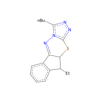 CCCCc1nnc2n1N=C1c3ccccc3C(CC)C1S2